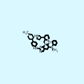 CN1CCC(c2ccc(Nc3ncc4cc(N(C)c5ccccc5)c(=O)n(Cc5ncccc5C5CCNC5)c4n3)cc2)CC1